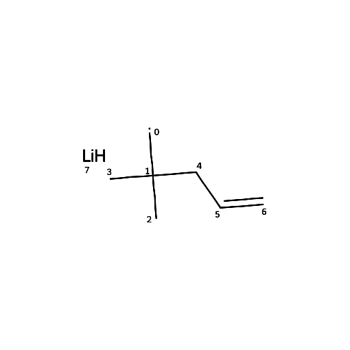 [CH2]C(C)(C)CC=C.[LiH]